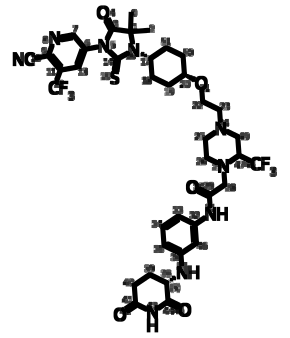 CC1(C)C(=O)N(c2cnc(C#N)c(C(F)(F)F)c2)C(=S)N1[C@H]1CC[C@H](OCCN2CCN(CC(=O)Nc3cccc(N[C@H]4CCC(=O)NC4=O)c3)C(C(F)(F)F)C2)CC1